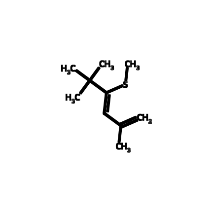 C=C(C)/C=C(\SC)C(C)(C)C